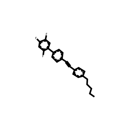 CCCCCc1ccc(C#Cc2ccc(-c3cc(F)c(F)cc3F)cc2)cc1